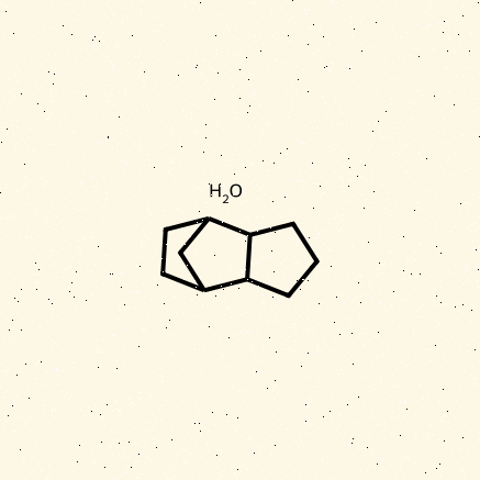 C1CC2C3CCC(C3)C2C1.O